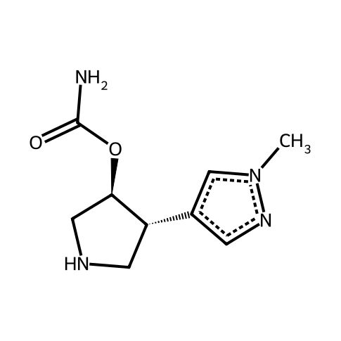 Cn1cc([C@@H]2CNC[C@H]2OC(N)=O)cn1